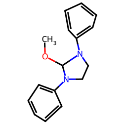 COC1N(c2ccccc2)CCN1c1ccccc1